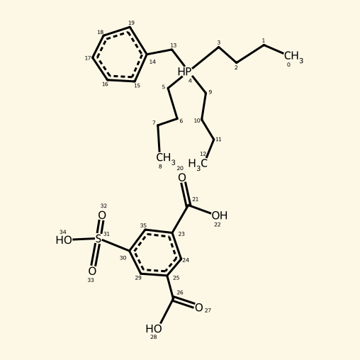 CCCC[PH](CCCC)(CCCC)Cc1ccccc1.O=C(O)c1cc(C(=O)O)cc(S(=O)(=O)O)c1